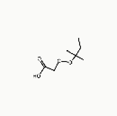 CCC(C)(C)OOCC(=O)O